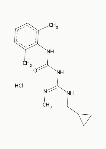 CN=C(NCC1CC1)NC(=O)Nc1c(C)cccc1C.Cl